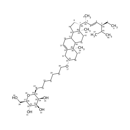 CC[C@H](C=C[C@@H](C)[C@H]1CCC2C3CC=C4C[C@@H](OCCCCCCS[C@@H]5O[C@H](CO)[C@@H](O)[C@H](O)[C@@H]5O)CC[C@]4(C)C3CC[C@@]21C)C(C)C